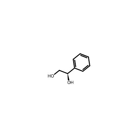 OC[C@H](O)c1ccccc1